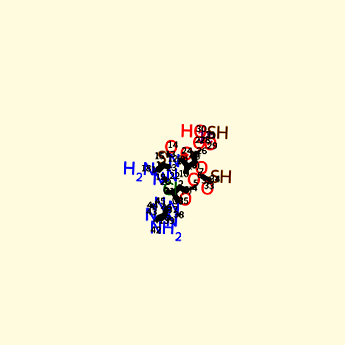 CC1C[C@@H](COC(O[C@H]2C(C)[C@H](n3c(=O)sc4c(N)nc(Cl)nc43)O[C@@H]2COP(=O)(O)S)C(=O)S)O[C@H]1n1cnc2c(N)ncnc21